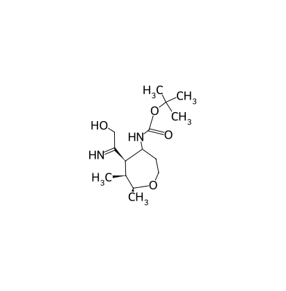 C[C@@H]1[C@H](C)OCCC(NC(=O)OC(C)(C)C)[C@@H]1C(=N)CO